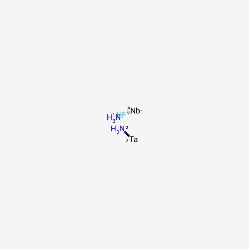 F.N.[NH2][Ta].[Nb]